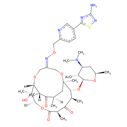 CC[C@H]1OC(=O)[C@H](C)C(=O)[C@H](C)[C@@H](O[C@@H]2O[C@H](C)C[C@H](N(C)C)[C@H]2OC(C)=O)[C@@]2(C)C[C@@H](C)C(=O)[C@H](C)[C@@H](OCC(=NOCc3ccc(-c4nc(N)ns4)cn3)CO2)[C@]1(C)O